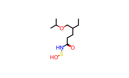 CCC(CCC(=O)NSO)COC(C)C